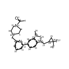 CC(=O)N1CCN(Cc2cccc(-c3ccc4c(c3)N(C)SN4CC3CC3(F)F)n2)CC1